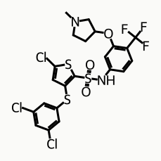 CN1CCC(Oc2cc(NS(=O)(=O)c3sc(Cl)cc3Sc3cc(Cl)cc(Cl)c3)ccc2C(F)(F)F)C1